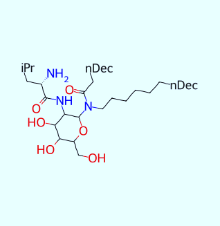 CCCCCCCCCCCCCCCCN(C(=O)CCCCCCCCCCC)C1OC(CO)C(O)C(O)C1NC(=O)[C@@H](N)CC(C)C